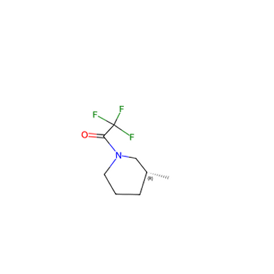 C[C@@H]1CCCN(C(=O)C(F)(F)F)C1